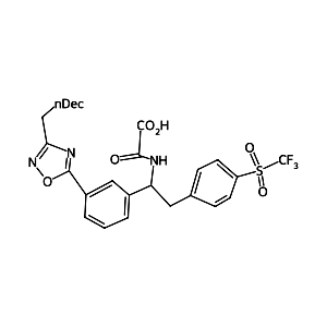 CCCCCCCCCCCc1noc(-c2cccc(C(Cc3ccc(S(=O)(=O)C(F)(F)F)cc3)NC(=O)C(=O)O)c2)n1